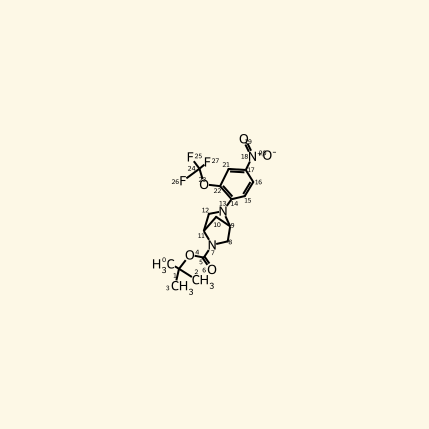 CC(C)(C)OC(=O)N1CC2CC1CN2c1ccc([N+](=O)[O-])cc1OC(F)(F)F